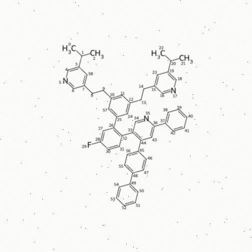 CC(C)c1cncc(CCc2cc(CCc3cncc(C(C)C)c3)cc(-c3cc(F)ccc3-c3cnc(-c4ccccc4)cc3-c3ccc(-c4ccccc4)cc3)c2)c1